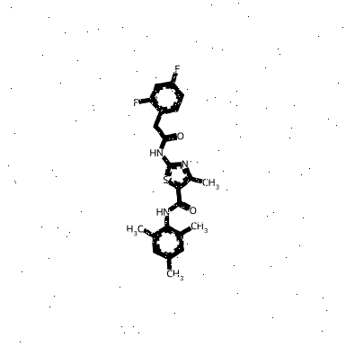 Cc1cc(C)c(NC(=O)c2sc(NC(=O)Cc3ccc(F)cc3F)nc2C)c(C)c1